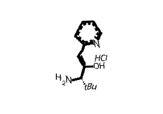 CC(C)(C)[C@H](N)/C(O)=C/c1ccccn1.Cl